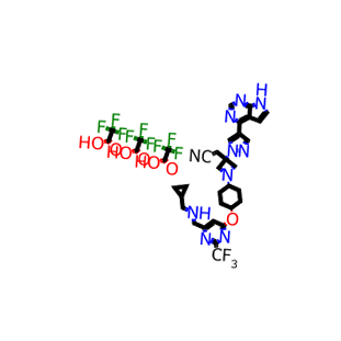 N#CCC1(n2cc(-c3ncnc4[nH]ccc34)cn2)CN([C@H]2CC[C@@H](Oc3cc(CNCC4CC4)nc(C(F)(F)F)n3)CC2)C1.O=C(O)C(F)(F)F.O=C(O)C(F)(F)F.O=C(O)C(F)(F)F